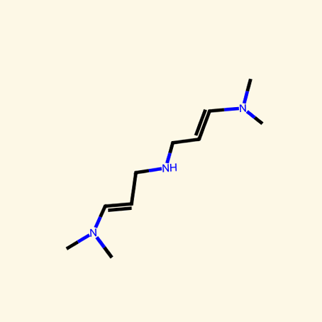 CN(C)C=CCNCC=CN(C)C